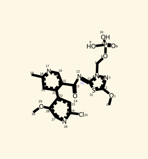 COc1nn(COP(=O)(O)O)/c(=N/C(=O)c2cnc(C)cc2-c2cc(Cl)ncc2OC)s1